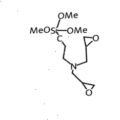 CO[Si](CCCN(CC1CO1)CC1CO1)(OC)OC